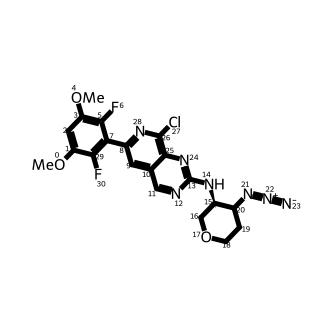 COc1cc(OC)c(F)c(-c2cc3cnc(N[C@@H]4COCCC4N=[N+]=[N-])nc3c(Cl)n2)c1F